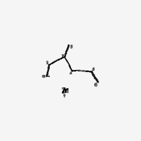 [CH2]CC(C)CCC.[Zn]